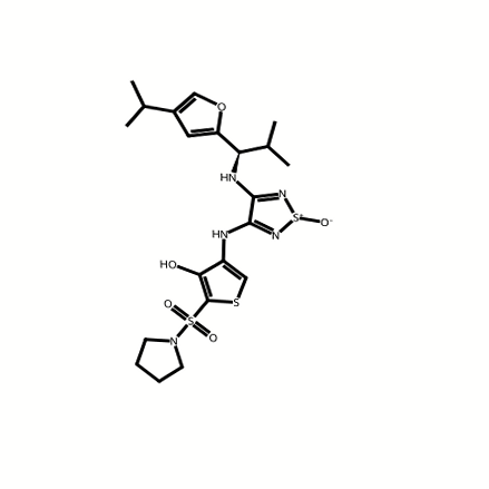 CC(C)c1coc([C@H](Nc2n[s+]([O-])nc2Nc2csc(S(=O)(=O)N3CCCC3)c2O)C(C)C)c1